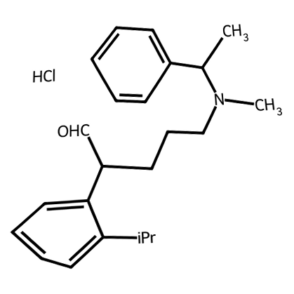 CC(C)c1ccccc1C(C=O)CCCN(C)C(C)c1ccccc1.Cl